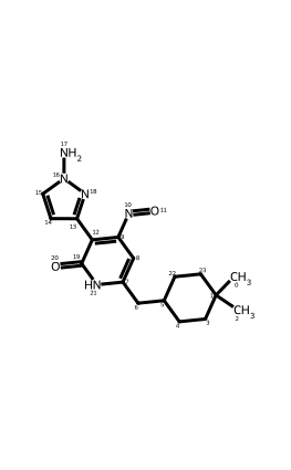 CC1(C)CCC(Cc2cc(N=O)c(-c3ccn(N)n3)c(=O)[nH]2)CC1